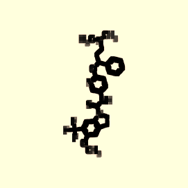 COc1cc2c(cc1C(F)(F)F)N(C(=S)Nc1ccc(OC(CCN(C)C)c3ccccc3)nc1)CC2